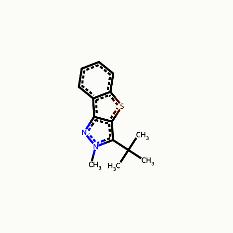 Cn1nc2c(sc3ccccc32)c1C(C)(C)C